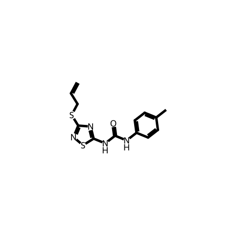 C=CCSc1nsc(NC(=O)Nc2ccc(C)cc2)n1